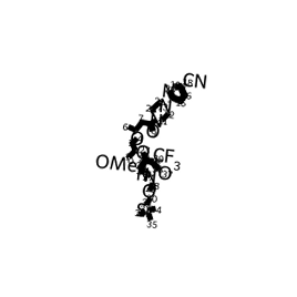 COCC(COC(C)CC(=O)N1CCN(c2ccc(C#N)cn2)CC1)Oc1cnn(COCC[Si](C)(C)C)c(=O)c1C(F)(F)F